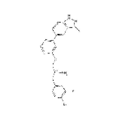 Cc1n[nH]c2ccc(-c3cncc(OC[C@@H](N)Cc4ccc(Br)c(F)c4)c3)cc12